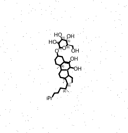 CC(C)CCC[C@@H](C)[C@H]1CCC2C3C(O)C(O)=C4CC(O[C@H]5O[C@H](CO)[C@@H](O)[C@H](O)[C@H]5O)CC[C@]4(C)C3CC[C@@]21C